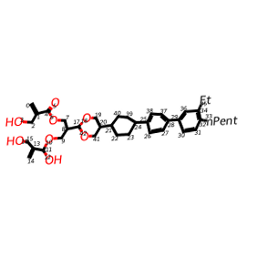 C=C(CO)C(=O)OCC(COC(O)C(=C)CO)C1OCC(C2CCC(c3ccc(-c4ccc(CCCCC)c(CC)c4)cc3)CC2)CO1